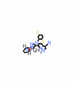 Cc1c(-c2cc(Sc3ccc(F)cc3C#N)c3c(C#N)cnn3c2)cnn1[C@@H]1C[C@H]2CC[C@@H](C1)N2C